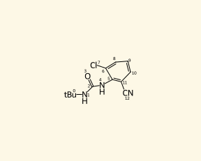 CC(C)(C)NC(=O)Nc1c(Cl)cccc1C#N